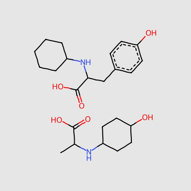 CC(NC1CCC(O)CC1)C(=O)O.O=C(O)C(Cc1ccc(O)cc1)NC1CCCCC1